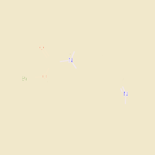 O=C(OBr)N1CCC=C(c2cccnc2)C1